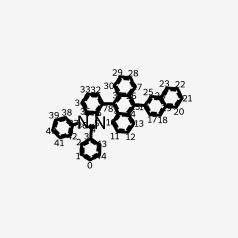 c1ccc(-c2nc3c(-c4c5ccccc5c(-c5ccc6ccccc6c5)c5ccccc45)cccc3n2-c2ccccc2)cc1